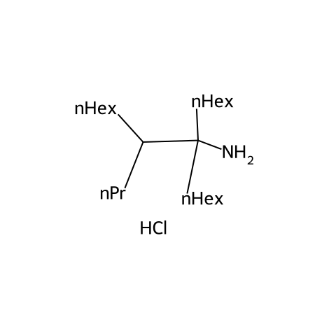 CCCCCCC(CCC)C(N)(CCCCCC)CCCCCC.Cl